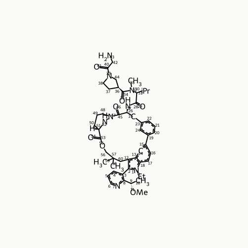 CCn1c(-c2cccnc2[C@H](C)OC)c2c3cc(ccc31)-c1cccc(c1)C[C@H](NC(=O)C(C(C)C)N(C)C(=O)[C@H]1CCN(C(=O)CN)C1)C(=O)N1CCC[C@H](N1)C(=O)OCC(C)(C)C2